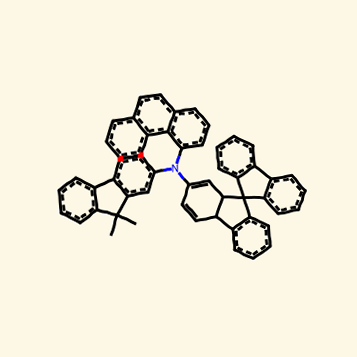 CC1(C)c2ccccc2-c2ccc(N(C3=CC4C(C=C3)c3ccccc3C43c4ccccc4-c4ccccc43)c3cccc4ccc5ccccc5c34)cc21